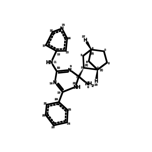 NC1([C@@H]2C[C@@H]3CC[C@H]2C3)N=C(Nc2ccncc2)N=C(c2ccccc2)N1